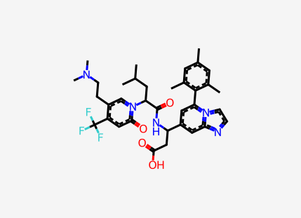 Cc1cc(C)c(-c2cc(C(CC(=O)O)NC(=O)C(CC(C)C)n3cc(CCN(C)C)c(C(F)(F)F)cc3=O)cc3nccn23)c(C)c1